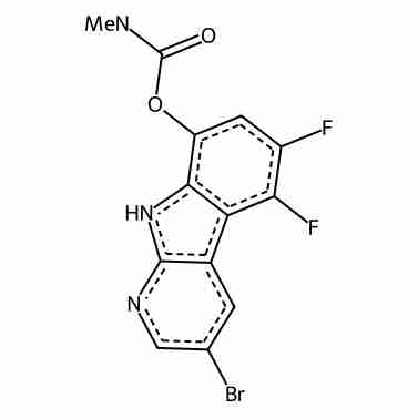 CNC(=O)Oc1cc(F)c(F)c2c1[nH]c1ncc(Br)cc12